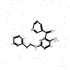 O=C(c1cccnc1)c1nc(OCCc2ccccc2)ccc1C(F)(F)F